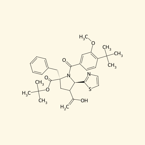 C=C(O)C1C[C@@](Cc2ccccc2)(C(=O)OC(C)(C)C)N(C(=O)c2ccc(C(C)(C)C)c(OC)c2)[C@H]1c1nccs1